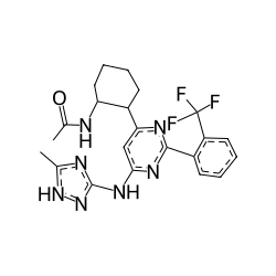 CC(=O)NC1CCCCC1c1cc(Nc2n[nH]c(C)n2)nc(-c2ccccc2C(F)(F)F)n1